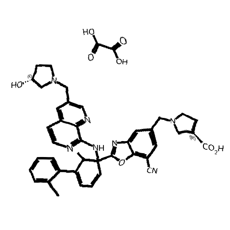 Cc1ccccc1C1=CC=CC(Nc2nccc3cc(CN4CC[C@@H](O)C4)cnc23)(c2nc3cc(CN4CC[C@@H](C(=O)O)C4)cc(C#N)c3o2)C1C.O=C(O)C(=O)O